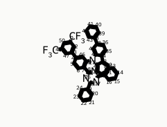 FC(F)(F)c1cc(-c2ccc(-c3nc(-c4ccccc4)nc(-c4ccccc4)n3)c(-n3c4ccccc4c4ccc(-c5ccccc5)cc43)c2)cc(C(F)(F)F)c1